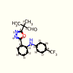 CC(C)(C=O)c1nnc(-c2ccccc2Nc2ccc(C(F)(F)F)cc2)o1